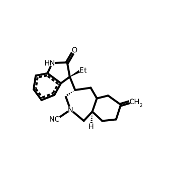 C=C1CC[C@H]2CN(C#N)C[C@H]([C@@]3(CC)C(=O)Nc4ccccc43)CC2C1